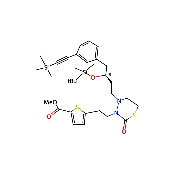 COC(=O)c1ccc(CCN2C(=O)SCCN2CC[C@H](Cc2cccc(C#C[Si](C)(C)C)c2)O[Si](C)(C)C(C)(C)C)s1